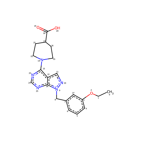 CCOc1cccc(Cn2ncc3c(N4CCC(C(=O)O)CC4)ncnc32)c1